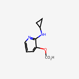 O=C(O)Oc1cccnc1NC1CC1